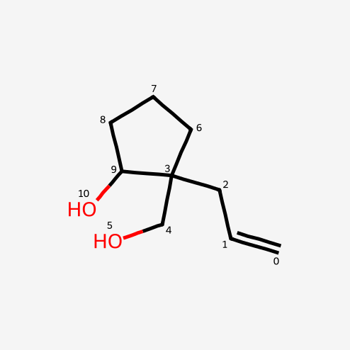 C=CCC1(CO)CCCC1O